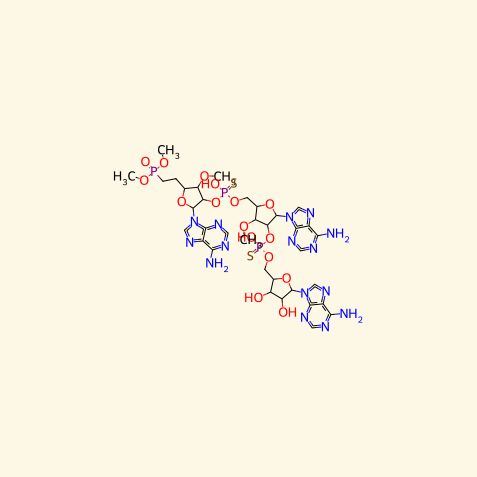 COC1C(CCP(=O)(OC)OC)OC(n2cnc3c(N)ncnc32)C1OP(O)(=S)OCC1OC(n2cnc3c(N)ncnc32)C(OP(O)(=S)OCC2OC(n3cnc4c(N)ncnc43)C(O)C2O)C1OC